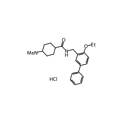 CCOc1ccc(-c2ccccc2)cc1CNC(=O)C1CCC(NC)CC1.Cl